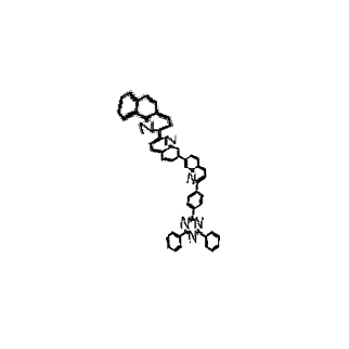 c1ccc(-c2nc(-c3ccccc3)nc(-c3ccc(-c4ccc5ccc(-c6ccc7ccc(-c8ccc9ccc%10ccccc%10c9n8)nc7c6)cc5n4)cc3)n2)cc1